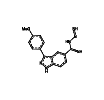 COc1ccc(-c2n[nH]c3ccc(C(=N)NN=N)cc23)cc1